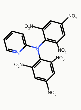 O=[N+]([O-])c1cc([N+](=O)[O-])c(N(c2ccccn2)c2c([N+](=O)[O-])cc([N+](=O)[O-])cc2[N+](=O)[O-])c([N+](=O)[O-])c1